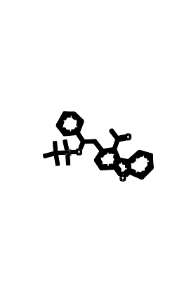 CC(=O)c1c(CC(O[Si](C)(C)C(C)(C)C)c2ccccc2)ccc2oc3ccccc3c12